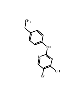 CSc1ccc(Nc2ncc(Br)c(O)n2)cc1